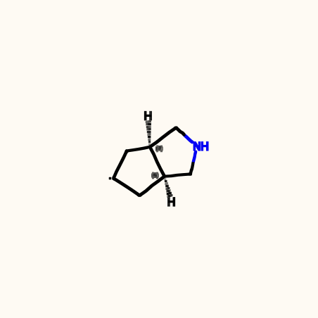 [CH]1C[C@@H]2CNC[C@@H]2C1